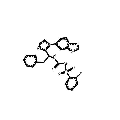 O=C(NC(Cc1ccccc1)c1nccn1-c1ccc2scnc2c1)NS(=O)(=O)c1ccccc1F